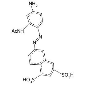 CC(=O)Nc1cc(N)ccc1N=Nc1ccc2c(S(=O)(=O)O)cc(S(=O)(=O)O)cc2c1